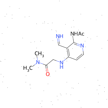 CC(=O)Nc1nccc(NCC(=O)N(C)C)c1C=N